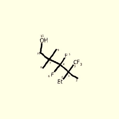 CCC(C)(C(F)(F)F)C(F)(F)C(C)(C)CO